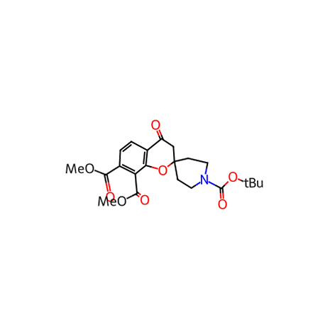 COC(=O)c1ccc2c(c1C(=O)OC)OC1(CCN(C(=O)OC(C)(C)C)CC1)CC2=O